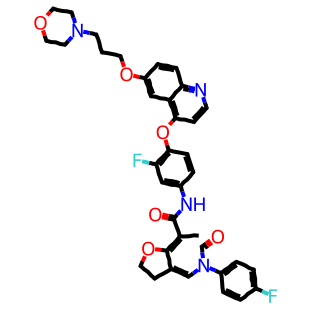 C/C(C(=O)Nc1ccc(Oc2ccnc3ccc(OCCCN4CCOCC4)cc23)c(F)c1)=C1/OCC/C1=C/N(C=O)c1ccc(F)cc1